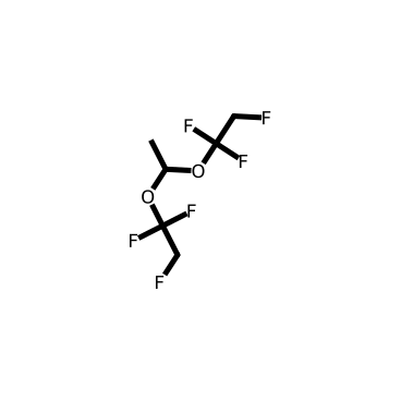 CC(OC(F)(F)CF)OC(F)(F)CF